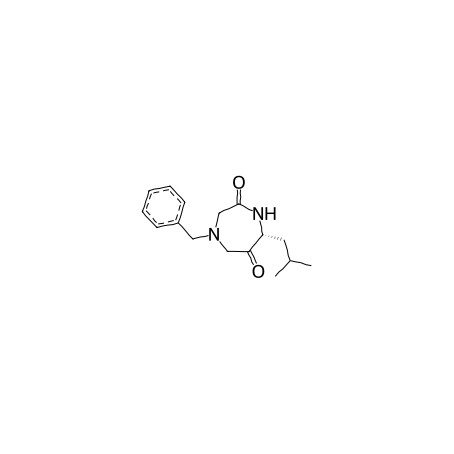 CC(C)C[C@H]1NC(=O)CN(Cc2ccccc2)CC1=O